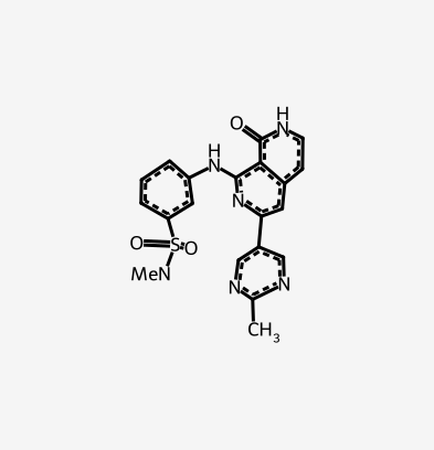 CNS(=O)(=O)c1cccc(Nc2nc(-c3cnc(C)nc3)cc3cc[nH]c(=O)c23)c1